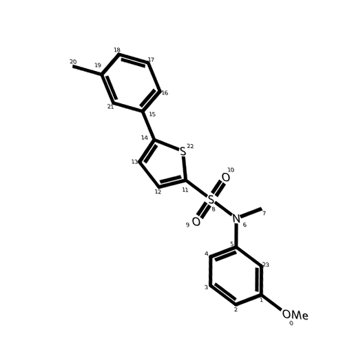 COc1cccc(N(C)S(=O)(=O)c2ccc(-c3cccc(C)c3)s2)c1